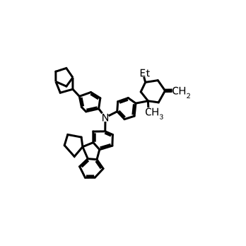 C=C1CC(CC)CC(C)(c2ccc(N(c3ccc(C4CC5CCC4C5)cc3)c3ccc4c(c3)C3(CCCC3)c3ccccc3-4)cc2)C1